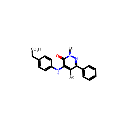 CCn1nc(-c2ccccc2)c(C(C)=O)c(Nc2ccc(CC(=O)O)cc2)c1=O